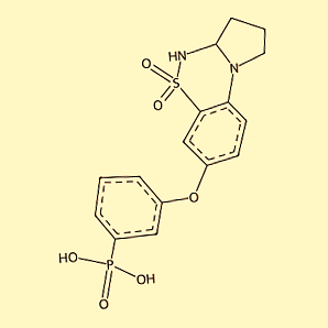 O=P(O)(O)c1cccc(Oc2ccc3c(c2)S(=O)(=O)NC2CCCN32)c1